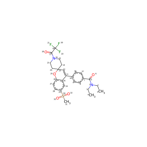 CCN(CC)C(=O)c1ccc(C2=CC3(CCN(C(=O)C(F)(F)F)CC3)Oc3ccc(S(C)(=O)=O)cc32)cc1